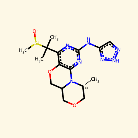 C[C@@H]1COCC2COc3c(nc(Nc4cn[nH]n4)nc3C(C)(C)[S+](C)[O-])N21